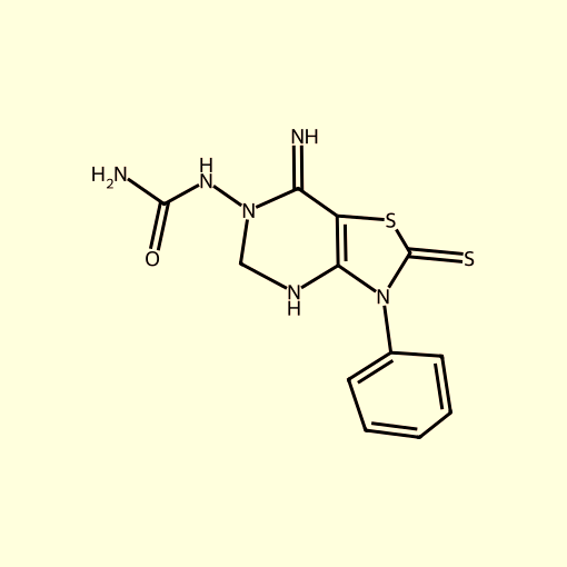 N=C1c2sc(=S)n(-c3ccccc3)c2NCN1NC(N)=O